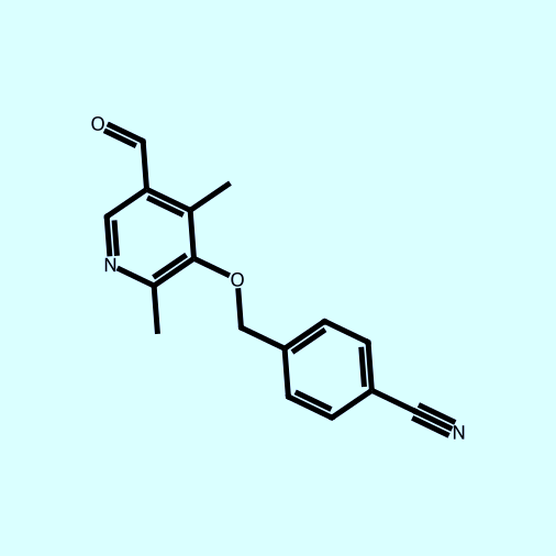 Cc1ncc(C=O)c(C)c1OCc1ccc(C#N)cc1